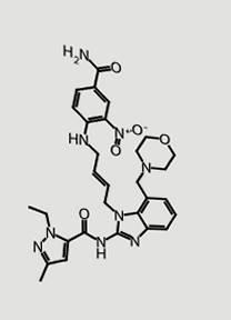 CCn1nc(C)cc1C(=O)Nc1nc2cccc(CN3CCOCC3)c2n1C/C=C/CNc1ccc(C(N)=O)cc1[N+](=O)[O-]